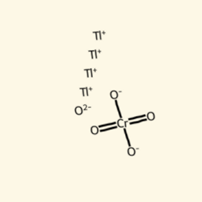 [O-2].[O]=[Cr](=[O])([O-])[O-].[Tl+].[Tl+].[Tl+].[Tl+]